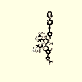 COC(=O)N[C@H](C(=O)N[C@@H](Cc1ccc(C#Cc2ccc(N3CC4CCC(C3)O4)nc2)cc1)[C@@H](O)CN(Cc1c(F)cc(-c2cnn(C(F)F)c2)cc1F)NC(=O)[C@@H](NC(=O)O)C(C)(C)C(F)(F)F)C(C)(C)C(F)(F)F